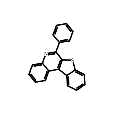 c1ccc(-c2nc3ccccc3c3c2sc2ccccc23)cc1